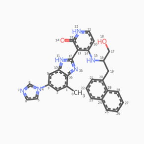 Cc1cc(-n2ccnc2)cc2[nH]c(-c3c(NC(CO)Cc4cccc5ccccc45)cc[nH]c3=O)nc12